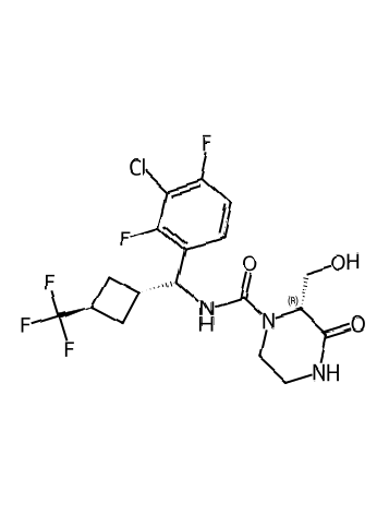 O=C1NCCN(C(=O)NC(c2ccc(F)c(Cl)c2F)[C@H]2C[C@H](C(F)(F)F)C2)[C@@H]1CO